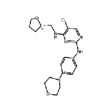 Clc1cnc(Nc2ccc(N3CCOCC3)cc2)nc1NC[C@@H]1CCCO1